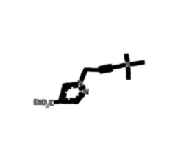 CCOC(=O)c1cnn(CC#CS(C)(C)C)c1